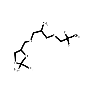 CC(COCC1COC(C)(C)O1)COCC(C)(F)F